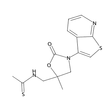 CC(=S)NCC1(C)CN(c2csc3ncccc23)C(=O)O1